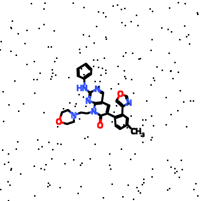 Cc1ccc(-c2cc3cnc(Nc4ccccc4)nc3n(CCN3CCOCC3)c2=O)c(-c2cocn2)c1